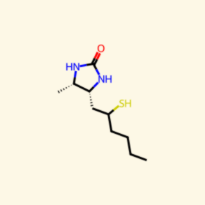 CCCCC(S)C[C@H]1NC(=O)N[C@H]1C